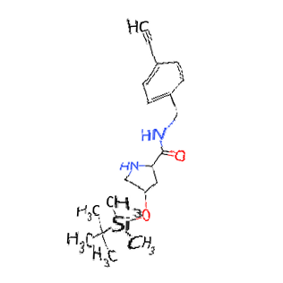 C#Cc1ccc(CNC(=O)C2CC(O[Si](C)(C)C(C)(C)C)CN2)cc1